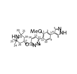 COc1cc(-c2cn[nH]c2)ccc1-c1ccc(OC2CC(C)(C)NC(C)(C)C2)nn1